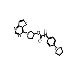 O=C(Nc1ccc(N2CCCC2)cc1)OC1CCN(c2ncnc3ccsc23)C1